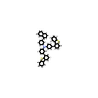 c1cc(-c2cccc3ccccc23)cc(N(c2ccc(-c3cccc4sc5ccccc5c34)cc2)c2cccc(-c3cccc4c3sc3ccccc34)c2)c1